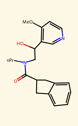 CCCN(CC(O)c1cnccc1OC)C(=O)C1Cc2ccccc2C1